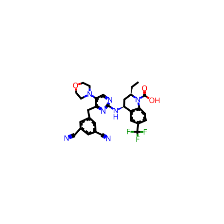 CC[C@@H]1C[C@H](Nc2ncc(N3CCOCC3)c(Cc3cc(C#N)cc(C#N)c3)n2)c2cc(C(F)(F)F)ccc2N1C(=O)O